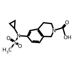 CS(=O)(=O)N(c1ccc2c(c1)CCN(C(=O)O)C2)C1CC1